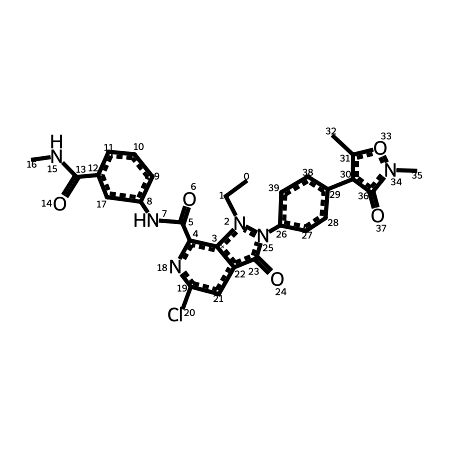 CCn1c2c(C(=O)Nc3cccc(C(=O)NC)c3)nc(Cl)cc2c(=O)n1-c1ccc(-c2c(C)on(C)c2=O)cc1